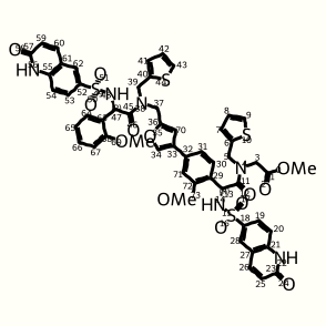 COC(=O)CN(Cc1cccs1)C(=O)[C@H](NS(=O)(=O)c1ccc2[nH]c(=O)ccc2c1)c1ccc(-c2coc(CN(Cc3cccs3)C(=O)[C@H](NS(=O)(=O)c3ccc4[nH]c(=O)ccc4c3)c3ccccc3OC)c2)cc1OC